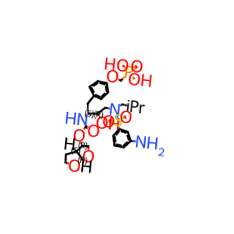 CC(C)CN(C[C@@H](O)[C@H](Cc1ccc(OCP(=O)(O)O)cc1)NC(=O)O[C@H]1CO[C@H]2OCC[C@H]21)S(=O)(=O)c1cccc(N)c1